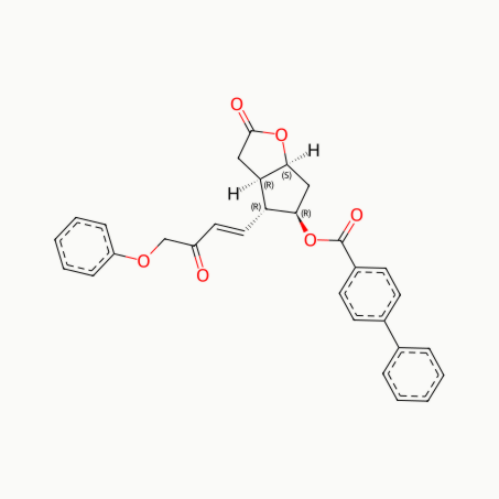 O=C(C=C[C@@H]1[C@H]2CC(=O)O[C@H]2C[C@H]1OC(=O)c1ccc(-c2ccccc2)cc1)COc1ccccc1